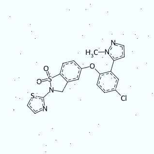 Cn1nccc1-c1cc(Cl)ccc1Oc1ccc2c(c1)CN(c1nccs1)S2(=O)=O